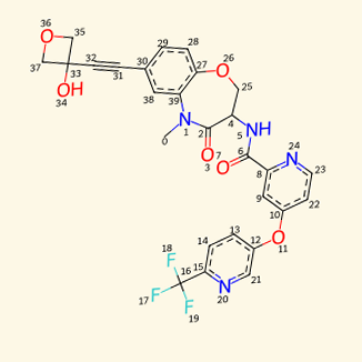 CN1C(=O)C(NC(=O)c2cc(Oc3ccc(C(F)(F)F)nc3)ccn2)COc2ccc(C#CC3(O)COC3)cc21